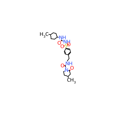 CC1CCC(NC(=O)NS(=O)(=O)c2ccc(CCNC(=O)N3CCC(C)CC3=O)cc2)CC1